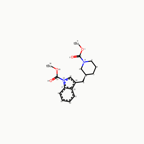 CC(C)(C)OC(=O)N1CCC[C@@H](Cc2cn(C(=O)OC(C)(C)C)c3ccccc23)C1